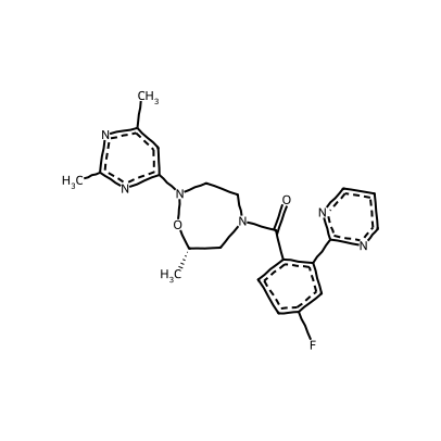 Cc1cc(N2CCN(C(=O)c3ccc(F)cc3-c3ncccn3)C[C@H](C)O2)nc(C)n1